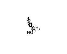 CC=COc1ccc([C@@H](N)CC(=O)O)cc1